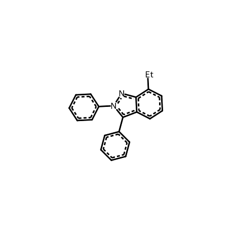 CCc1cccc2c(-c3ccccc3)n(-c3ccccc3)nc12